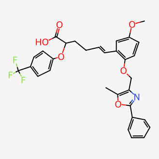 COc1ccc(OCc2nc(-c3ccccc3)oc2C)c(C=CCCC(Oc2ccc(C(F)(F)F)cc2)C(=O)O)c1